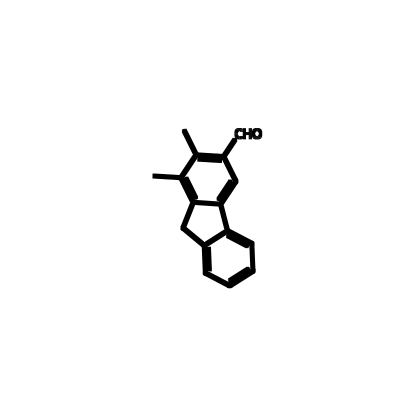 Cc1c(C=O)cc2c(c1C)Cc1ccccc1-2